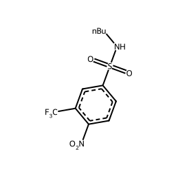 CCCCNS(=O)(=O)c1ccc([N+](=O)[O-])c(C(F)(F)F)c1